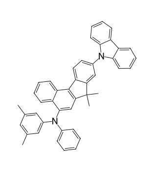 Cc1cc(C)cc(N(c2ccccc2)c2cc3c(c4ccccc24)-c2ccc(-n4c5ccccc5c5ccccc54)cc2C3(C)C)c1